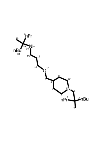 CCCCC(C)(CCC)CN1CCC(COCCCNC(C)(CCC)CCCC)CC1